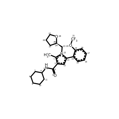 Cc1c(C(=O)NC2CCCCC2)cc(-c2ccccc2OC(F)(F)F)n1C[C@H]1CCCO1